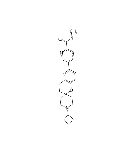 CNC(=O)c1ccc(-c2ccc3c(c2)CCC2(CCN(C4CCC4)CC2)O3)cn1